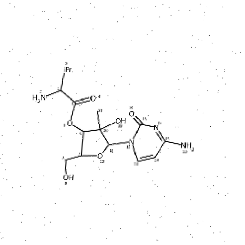 CC(C)C(N)C(=O)OC1C(CO)OC(n2ccc(N)nc2=O)C1(C)O